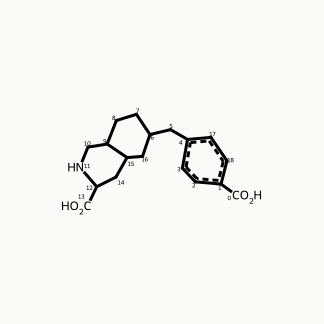 O=C(O)c1ccc(CC2CCC3CNC(C(=O)O)CC3C2)cc1